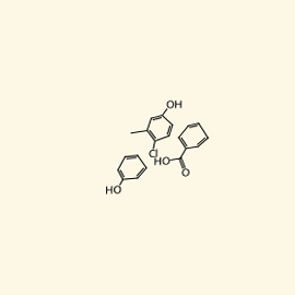 Cc1cc(O)ccc1Cl.O=C(O)c1ccccc1.Oc1ccccc1